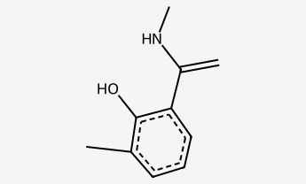 C=C(NC)c1cccc(C)c1O